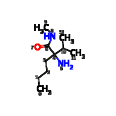 CCCCC(N)(C(=O)NC)C(C)C